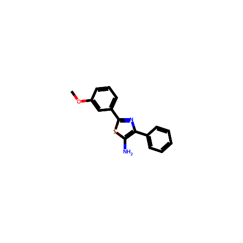 COc1cccc(-c2nc(-c3ccccc3)c(N)s2)c1